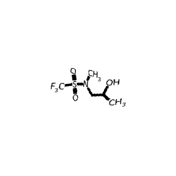 CC(O)CN(C)S(=O)(=O)C(F)(F)F